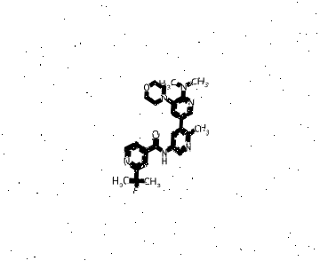 Cc1ncc(NC(=O)c2ccnc(C(C)(C)F)c2)cc1-c1cnc(N(C)C)c(N2CCOCC2)c1